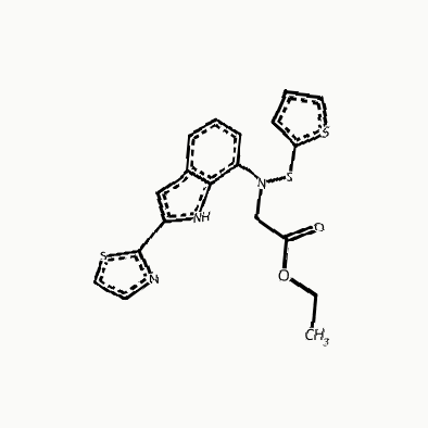 CCOC(=O)CN(Sc1cccs1)c1cccc2cc(-c3nccs3)[nH]c12